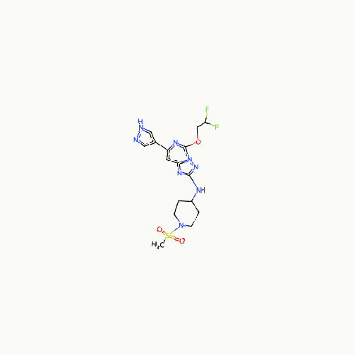 CS(=O)(=O)N1CCC(Nc2nc3cc(-c4cn[nH]c4)nc(OCC(F)F)n3n2)CC1